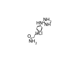 Cl.N=C(N)Nc1ccc(CCCC(N)=O)cc1